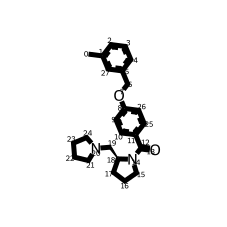 Cc1cccc(COc2ccc(C(=O)N3CCC[C@H]3CN3CCCC3)cc2)c1